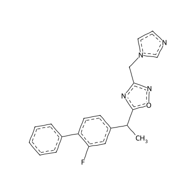 CC(c1ccc(-c2ccccc2)c(F)c1)c1nc(Cn2ccnc2)no1